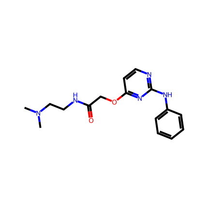 CN(C)CCNC(=O)COc1ccnc(Nc2ccccc2)n1